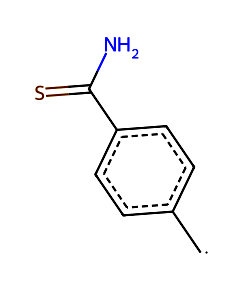 [CH2]c1ccc(C(N)=S)cc1